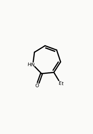 CCC1=CC=CCNC1=O